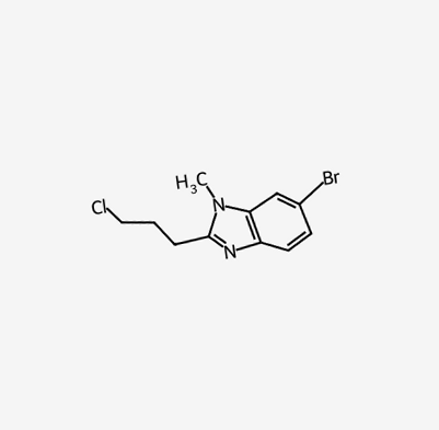 Cn1c(CCCCl)nc2ccc(Br)cc21